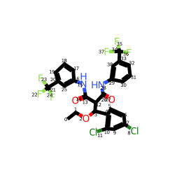 CCOC(c1ccc(Cl)cc1Cl)C(C(=O)Nc1cccc(C(F)(F)F)c1)C(=O)Nc1cccc(C(F)(F)F)c1